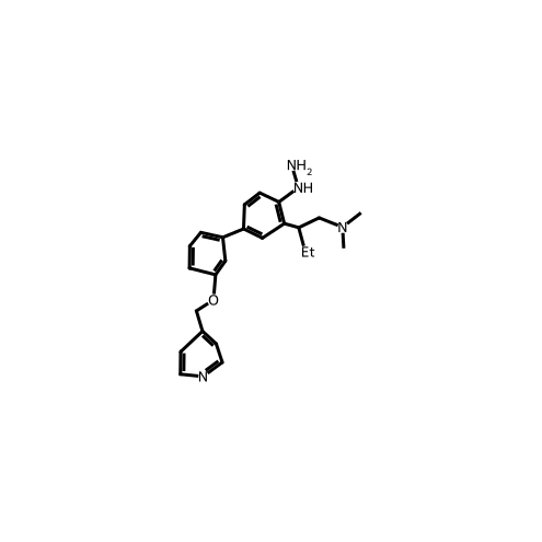 CCC(CN(C)C)c1cc(-c2cccc(OCc3ccncc3)c2)ccc1NN